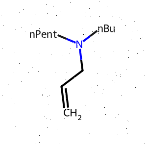 C=CCN(CCCC)CCCCC